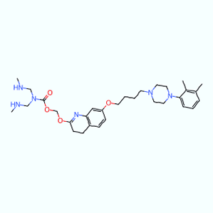 CNCN(CNC)C(=O)OCOC1=Nc2cc(OCCCCN3CCN(c4cccc(C)c4C)CC3)ccc2CC1